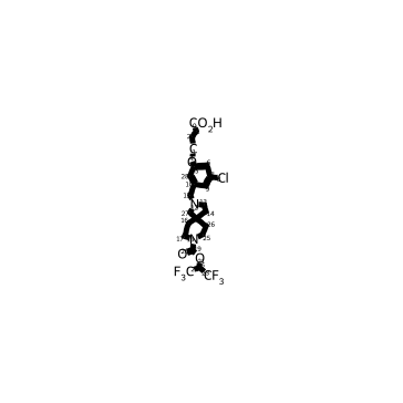 O=C(O)CCCOc1cc(Cl)cc(CN2CCC3(CCN(C(=O)OC(C(F)(F)F)C(F)(F)F)CC3)C2)c1